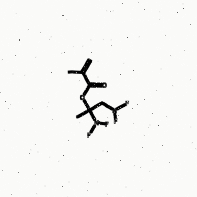 C=C(C)C(=O)OC(C)(CN(F)F)N(F)F